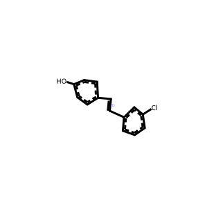 Oc1ccc(/C=C/c2cccc(Cl)c2)cc1